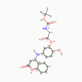 COc1ccc(N(C)c2cc(=O)oc3ccccc23)cc1OC(=O)CNC(=O)OC(C)(C)C